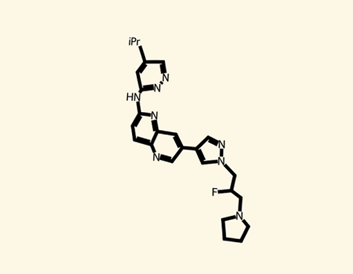 CC(C)c1cnnc(Nc2ccc3ncc(-c4cnn(CC(F)CN5CCCC5)c4)cc3n2)c1